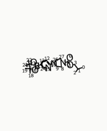 CC(C)COC(=O)N1CCN(c2ccc(B3OC(C)(C)C(C)(C)O3)cn2)CC1